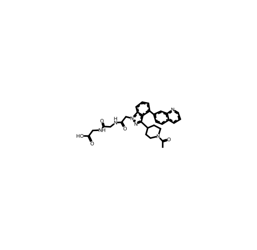 CC(=O)N1CCC(c2nn(CC(=O)NCC(=O)NCC(=O)O)c3cccc(-c4ccc5cccnc5c4)c23)CC1